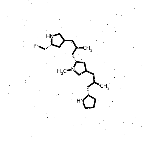 CC(C)C[C@H]1CC(CC(C)C[C@@H]2CC(CC(C)C[C@@H]3CCCN3)CN2C)CN1